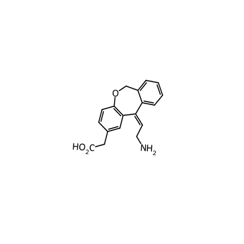 NCC=C1c2ccccc2COc2ccc(CC(=O)O)cc21